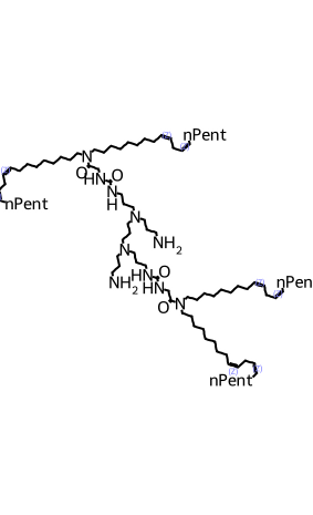 CCCCC/C=C\C/C=C\CCCCCCCCN(CCCCCCCC/C=C\C/C=C\CCCCC)C(=O)CNC(=O)NCCCN(CCCN)CCCN(CCCN)CCCNC(=O)NCC(=O)N(CCCCCCCC/C=C\C/C=C\CCCCC)CCCCCCCC/C=C\C/C=C\CCCCC